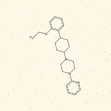 CCOc1ccccc1C1CCC(N2CCN(c3ccccn3)CC2)CC1